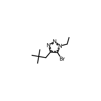 CCn1nnc(CC(C)(C)C)c1Br